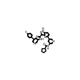 O=C(Nc1cncc(-c2ccc3[nH]nc(-c4nc5c(-c6ccc(F)cc6)cncc5[nH]4)c3n2)c1)C1CCCC1